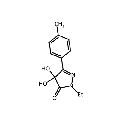 CCN1N=C(c2ccc(C)cc2)C(O)(O)C1=O